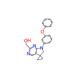 OCc1ncc2c(n1)N(c1cccc(Oc3ccccc3)c1)CC21CC1